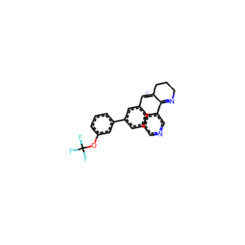 FC(F)(F)Oc1cccc(-c2cccc(/C=C3/CCCN=C3c3cccnc3)c2)c1